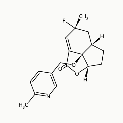 Cc1ccc(CO[C@@]23C4=C[C@](C)(F)C[C@@H]2CC[C@@H]3OC4=O)cn1